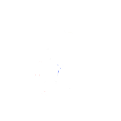 CC[C@H](C)[C@H](NC(=O)[C@H](C)CS)C(=O)O